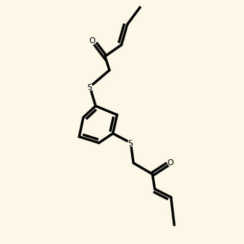 CC=CC(=O)CSc1cccc(SCC(=O)C=CC)c1